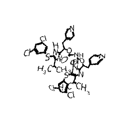 CC(C)c1nc(C(Cc2ccncc2)OC(=O)NC(=O)OC(Cc2ccncc2)c2nc(C(C)C)c(Sc3cc(Cl)cc(Cl)c3)[nH]2)[nH]c1Sc1cc(Cl)cc(Cl)c1